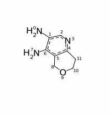 Nc1cnc2c(c1N)COCC2